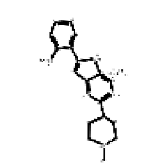 COc1ccccc1-c1cc2nc(C3CCN(C)CC3)ncc2[nH]1.Cl.O